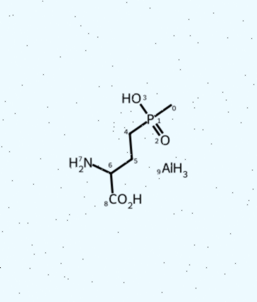 CP(=O)(O)CCC(N)C(=O)O.[AlH3]